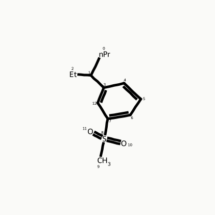 CCCC(CC)c1cccc(S(C)(=O)=O)c1